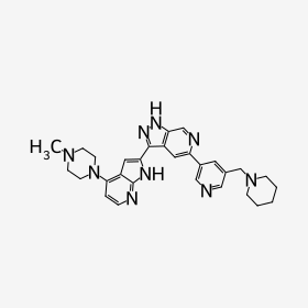 CN1CCN(c2ccnc3[nH]c(-c4n[nH]c5cnc(-c6cncc(CN7CCCCC7)c6)cc45)cc23)CC1